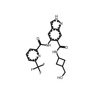 O=C(Nc1cc2c[nH]nc2cc1C(=O)NC1CC(CO)C1)c1cccc(C(F)(F)F)n1